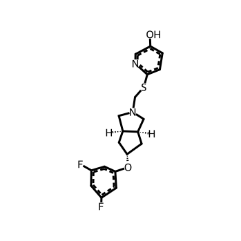 Oc1ccc(SCN2C[C@H]3C[C@H](Oc4cc(F)cc(F)c4)C[C@H]3C2)nc1